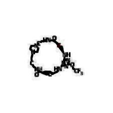 O=C1NCCCN2CCN(CCCNC(=O)c3ccc(cc3)Nc3nc(nc(OCC(F)(F)F)n3)NCc3ccc1cc3)CC2